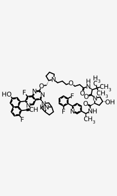 C#Cc1c(F)ccc2cc(O)cc(-c3ncc4c(N5CC6CCC(C5)N6)nc(OC[C@@H]5CCCN5CCCOCCC(=O)N[C@H](C(=O)N5C[C@H](O)C[C@H]5C(=O)N[C@@H](C)c5ccc(-c6c(F)cccc6F)nc5)C(C)(C)C)nc4c3F)c12